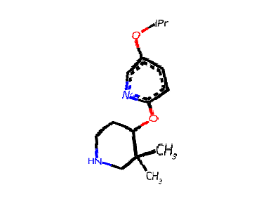 CC(C)Oc1ccc(OC2CCNCC2(C)C)nc1